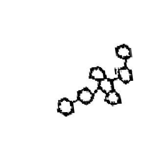 c1ccc(-c2ccc(-c3c4ccccc4c(-c4cccc(-c5ccccc5)n4)c4ccccc34)cc2)cc1